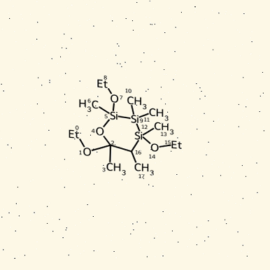 CCOC1(C)O[Si](C)(OCC)[Si](C)(C)[Si](C)(OCC)C1C